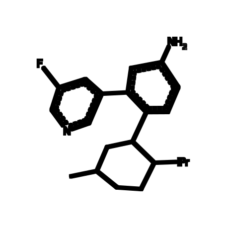 CC1CCC(C(C)C)C(c2ccc(N)cc2-c2cncc(F)c2)C1